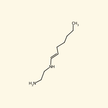 CCCCC/C=C/NCCN